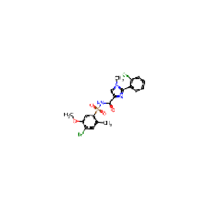 COc1cc(S(=O)(=O)NC(=O)c2cn(C)c(-c3ccccc3Cl)n2)c(C)cc1Br